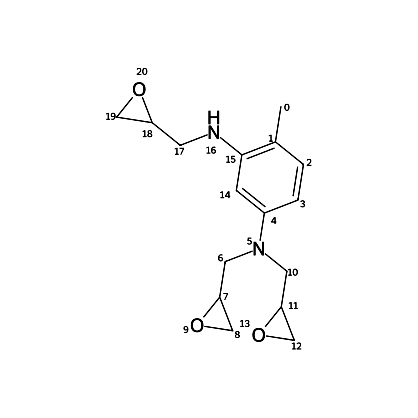 Cc1ccc(N(CC2CO2)CC2CO2)cc1NCC1CO1